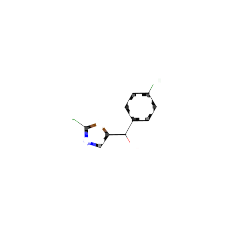 OC(c1ccc(Br)cc1)c1cnc(Cl)s1